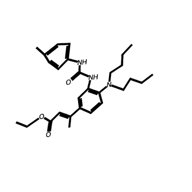 CCCCN(CCCC)c1ccc(/C(C)=C/C(=O)OCC)cc1NC(=O)Nc1ccc(C)cc1